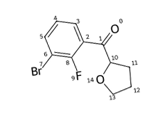 O=C(c1cccc(Br)c1F)C1CCCO1